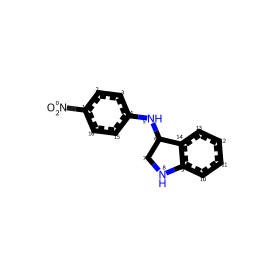 O=[N+]([O-])c1ccc(NC2CNc3ccccc32)cc1